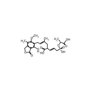 COc1c(C)c2c(c(O)c1C/C=C(\C)CC(/C=C/CP(=O)(O)O[C@@H](C)C(=O)O)C(=O)O)C(=O)OC2